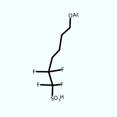 CC(=O)OCCCCC(F)(F)C(F)(F)S(=O)(=O)O